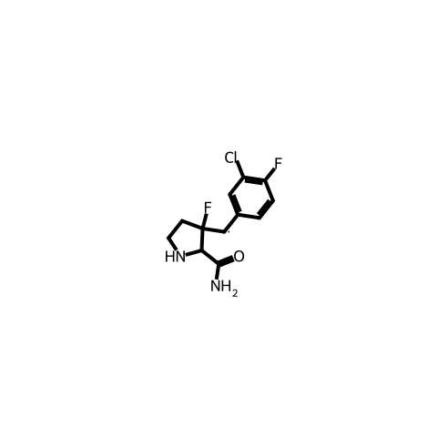 NC(=O)C1NCCC1(F)[CH]c1ccc(F)c(Cl)c1